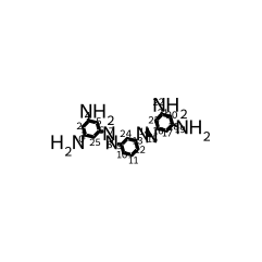 Nc1cc(N)cc(N=Nc2cccc(N=Nc3cc(N)cc(N)c3)c2)c1